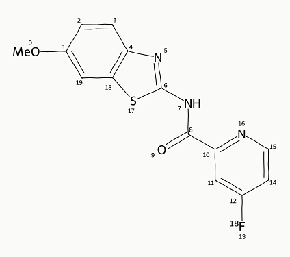 COc1ccc2nc(NC(=O)c3cc([18F])ccn3)sc2c1